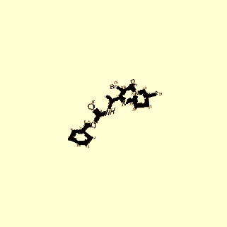 CC(NC(=O)OCc1ccccc1)c1nc2ccc(F)cn2c(=O)c1Br